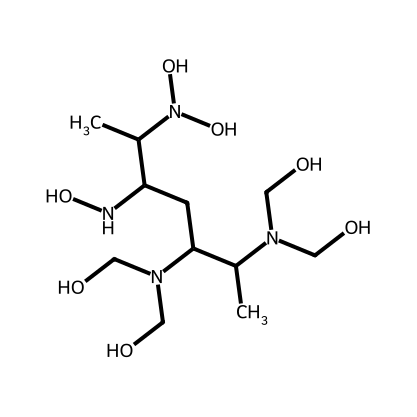 CC(C(CC(C(C)N(CO)CO)N(CO)CO)NO)N(O)O